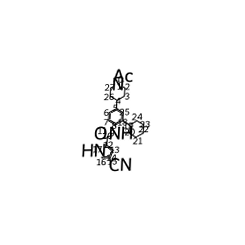 CC(=O)N1CCC(c2ccc(NC(=O)c3cc(C#N)c[nH]3)c(C3=CCCCC3)c2)CC1